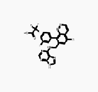 Fc1cccc(-c2c(CNc3ncnc4[nH]cnc34)cc(Cl)c3ccnnc23)c1.O=C(O)C(F)(F)F